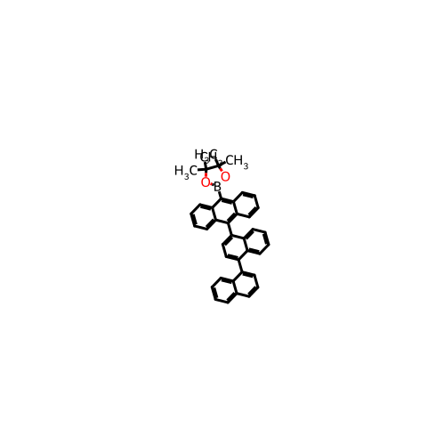 CC1(C)OB(c2c3ccccc3c(-c3ccc(-c4cccc5ccccc45)c4ccccc34)c3ccccc23)OC1(C)C